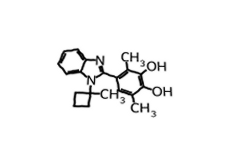 Cc1cc(-c2nc3ccccc3n2C2(C)CCC2)c(C)c(O)c1O